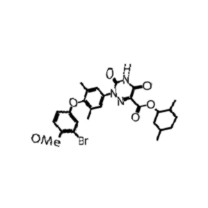 COc1ccc(Oc2c(C)cc(-n3nc(C(=O)OC4CC(C)CCC4C)c(=O)[nH]c3=O)cc2C)cc1Br